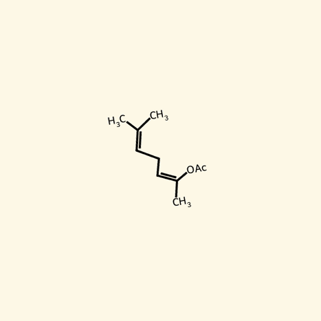 CC(=O)O/C(C)=C\CC=C(C)C